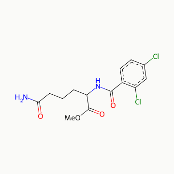 COC(=O)C(CCCC(N)=O)NC(=O)c1ccc(Cl)cc1Cl